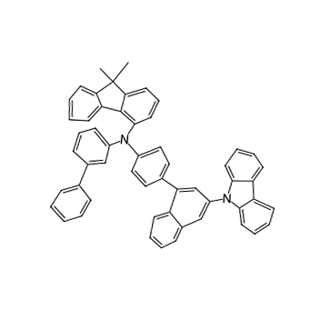 CC1(C)c2ccccc2-c2c(N(c3ccc(-c4cc(-n5c6ccccc6c6ccccc65)cc5ccccc45)cc3)c3cccc(-c4ccccc4)c3)cccc21